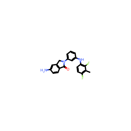 Cc1c(F)ccc(Nc2cccc(N3Cc4cc(N)ccc4C3=O)c2)c1F